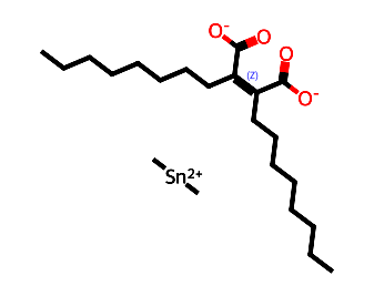 CCCCCCCC/C(C(=O)[O-])=C(\CCCCCCCC)C(=O)[O-].[CH3][Sn+2][CH3]